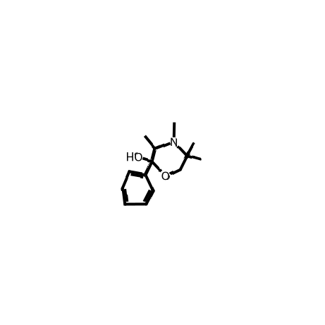 CC1N(C)C(C)(C)COC1(O)c1ccccc1